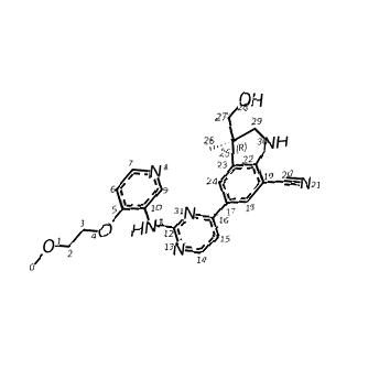 COCCOc1ccncc1Nc1nccc(-c2cc(C#N)c3c(c2)[C@@](C)(CO)CN3)n1